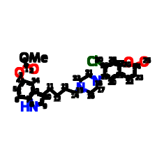 COC(=O)Oc1ccc2[nH]cc(CCCCN3CCN(c4cc5ccc(=O)oc5cc4Cl)CC3)c2c1